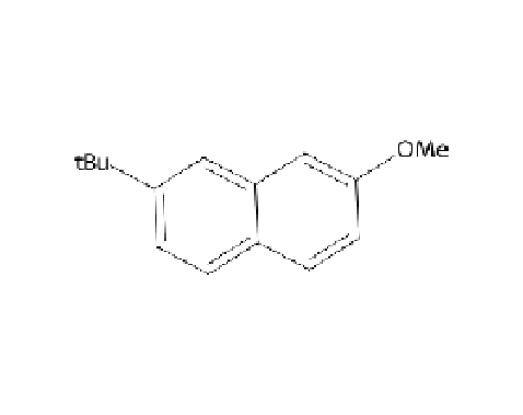 COc1ccc2ccc(C(C)(C)C)cc2c1